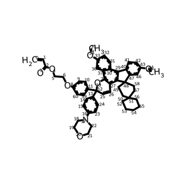 C=CC(=O)OCCOc1ccc(C2(c3ccc(N4CCOCC4)cc3)C=Cc3c4c(c5ccc(OC)cc5c3O2)-c2ccc(OC)cc2C42CCC3(CCCCC3)CC2)cc1